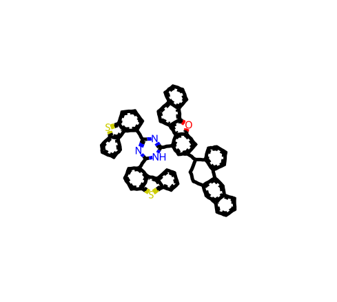 c1ccc2c(c1)-c1cc3ccccc3cc1CCC2c1cc(C2=NC(c3cccc4sc5ccccc5c34)=NC(c3cccc4sc5ccccc5c34)N2)c2c(c1)oc1c3ccccc3ccc12